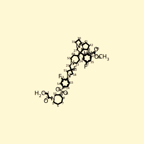 C=CC(=O)N1CCCC[C@@H](S(=O)(=O)c2ccc(N3CC(F)(CN4CCC([C@@](CN5CCC5)(c5cccc(F)c5)[C@H]5CCC[C@@H]5NC(=O)OC)CC4)C3)c(F)c2)C1